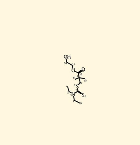 CCN(CC)C(=S)SCC(C)(C)C(=O)OCCO